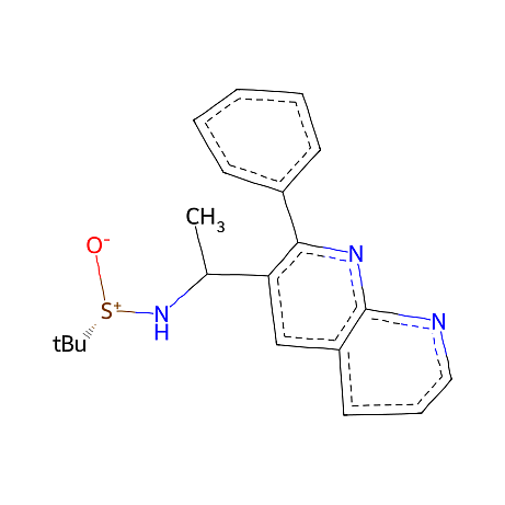 CC(N[S@@+]([O-])C(C)(C)C)c1cc2cccnc2nc1-c1ccccc1